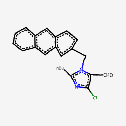 CCCCc1nc(Cl)c(C=O)n1Cc1ccc2cc3ccccc3cc2c1